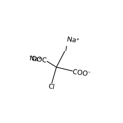 O=C([O-])C(Cl)(I)C(=O)[O-].[Na+].[Na+]